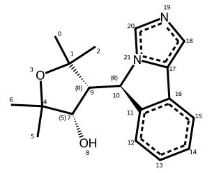 CC1(C)OC(C)(C)[C@@H](O)[C@H]1[C@@H]1c2ccccc2-c2cncn21